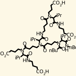 CCCCNC(=O)C(C(C)C)N(CCCC(=O)N(CCCC(=O)N(CCCC(=O)O)C(C(=O)NCCCC(=O)O)C(C)C)C(C(=O)NCCCC(=O)N(CCCC(=O)O)C(C(=O)NCCCC(=O)O)C(C)C)C(C)C)C(=O)CCCC